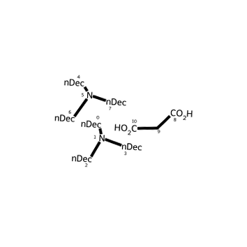 CCCCCCCCCCN(CCCCCCCCCC)CCCCCCCCCC.CCCCCCCCCCN(CCCCCCCCCC)CCCCCCCCCC.O=C(O)CC(=O)O